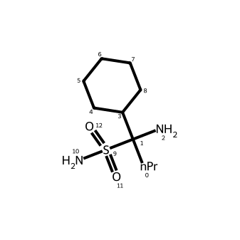 CCCC(N)(C1CCCCC1)S(N)(=O)=O